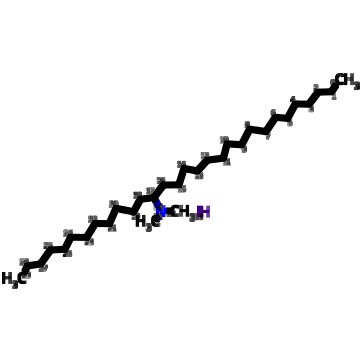 CCCCCCCCCCCCCCCCCC(CCCCCCCCCCCC)N(C)C.I